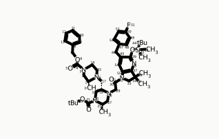 C[C@@H]1CN(C(=O)OCc2ccccc2)CCN1C[C@H]1CN(C(=O)OC(C)(C)C)[C@H](C)CN1CC(=O)N1CC(C)(C)c2nc(O[Si](C)(C)C(C)(C)C)c(Cc3ccc(F)cc3)cc21